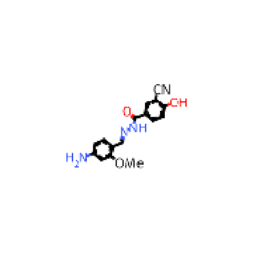 COc1cc(N)ccc1C=NNC(=O)c1ccc(O)c(C#N)c1